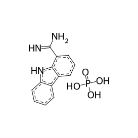 N=C(N)c1cccc2c1[nH]c1ccccc12.O=P(O)(O)O